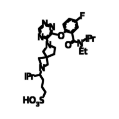 CCN(C(=O)c1cc(F)ccc1Oc1nncnc1N1CCC2(C1)CN(C(CCCS(=O)(=O)O)C(C)C)C2)C(C)C